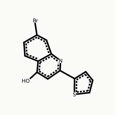 Oc1cc(-c2cccs2)nc2cc(Br)ccc12